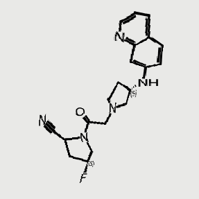 N#CC1C[C@H](F)CN1C(=O)CN1CC[C@H](Nc2ccc3cccnc3c2)C1